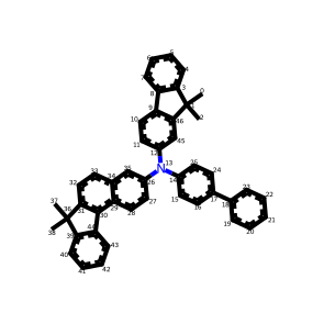 CC1(C)c2ccccc2-c2ccc(N(c3ccc(-c4ccccc4)cc3)c3ccc4c5c(ccc4c3)C(C)(C)c3ccccc3-5)cc21